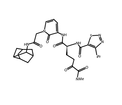 CNC(=O)C(=O)CC[C@H](NC(=O)c1snnc1C(C)C)C(=O)Nc1cccn(CC(=O)NC2C3CC4CC(C3)C2C4)c1=O